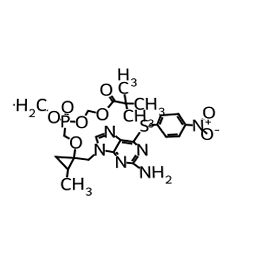 [CH2]OP(=O)(COC1(Cn2cnc3c(Sc4ccc([N+](=O)[O-])cc4)nc(N)nc32)CC1C)OCOC(=O)C(C)(C)C